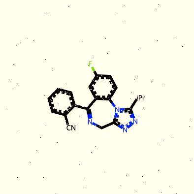 CC(C)c1nnc2n1-c1ccc(F)cc1C(c1ccccc1C#N)=NC2